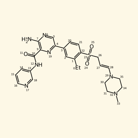 CCc1cc(-c2cnc(N)c(C(=O)Nc3cccnc3)n2)ccc1S(=O)(=O)CC=CN1CCN(C)CC1